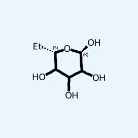 CC[C@@H]1O[C@@H](O)C(O)C(O)C1O